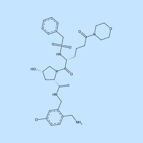 NCc1ccc(Cl)cc1CNC(=O)[C@@H]1C[C@H](O)CN1C(=O)[C@@H](CCCC(=O)N1CCOCC1)NS(=O)(=O)Cc1ccccc1